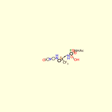 CC(=O)NS(=O)(=O)c1cc(OCCO)c(NCC#Cc2sc3c(NC4CCC(N5CCC6(CC5)COC6)CC4)cccc3c2CC(F)(F)F)cc1F